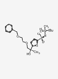 CC(O)(COCCOCc1ccccc1)c1ccc(S(=O)(Cl)=N[Si](C)(C)C(C)(C)C)s1